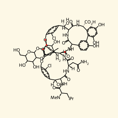 CN[C@H](CC(C)C)C(=O)NC1C(=O)N[C@@H](CC(N)=O)C(=O)N[C@H]2C(=O)N[C@H]3C(=O)N[C@H](C(=O)N[C@H](C(=O)O)c4cc(O)cc(O)c4-c4cc3ccc4O)[C@H](O)c3ccc(c(Cl)c3)Oc3cc2cc(c3OC2OC(CO)C(O)C(O)C2OC2CC(C)(N)C(O)C(C)O2)Oc2ccc(cc2Cl)[C@H]1O